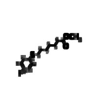 COC(=O)CCCCCCSc1ccc(F)cc1